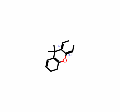 C/C=C1\C(=C/C)OC2=C(C=CCC2)C1(C)C